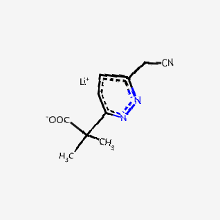 CC(C)(C(=O)[O-])c1ccc(CC#N)nn1.[Li+]